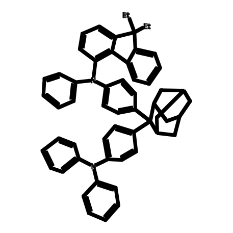 CCC1(CC)c2ccccc2-c2c(N(c3ccccc3)c3ccc(C4(c5ccc(N(c6ccccc6)c6ccccc6)cc5)C5CC6CC(C5)CC4C6)cc3)cccc21